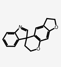 C1=Nc2ccccc2C12CCOc1cc3c(cc12)CCO3